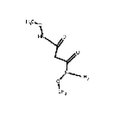 CONC(=O)CC(=O)N(C)OC